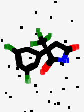 O=C1C[C@](C2C=C(Cl)C=C(Cl)C2)(C(F)(F)F)C(=O)N1